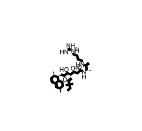 C=C(NCCCCNC(=N)N)[C@H](C)NC(=O)C[C@H](O)C[C@H](O)CC[C@@H]1C2C(=C[C@H](C)C[C@@H]2OC(=C)C(C)(C)CC)C=C[C@@H]1C